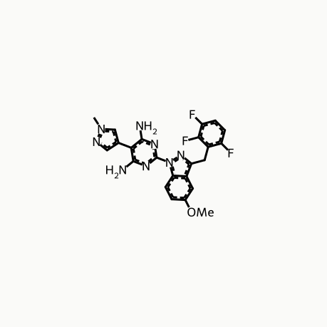 COc1ccc2c(c1)c(Cc1c(F)ccc(F)c1F)nn2-c1nc(N)c(-c2cnn(C)c2)c(N)n1